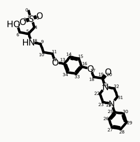 CS(=O)(=O)CC(CO)NCCCOc1ccc(OCC(=O)N2CCN(c3ccccc3)CC2)cc1